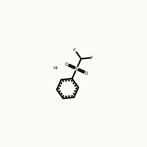 I.O=S(=O)(c1ccccc1)C(F)F